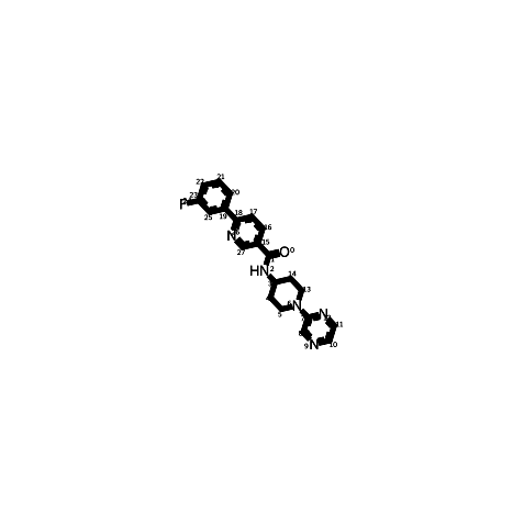 O=C(NC1CCN(c2cnccn2)CC1)c1ccc(-c2cccc(F)c2)nc1